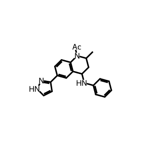 CC(=O)N1c2ccc(-c3cc[nH]n3)cc2C(Nc2ccccc2)CC1C